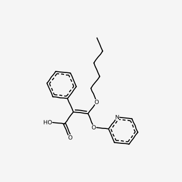 CCCCCOC(Oc1ccccn1)=C(C(=O)O)c1ccccc1